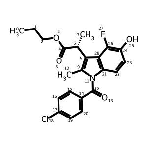 CCCOC(=O)[C@H](C)c1c(C)n(C(=O)c2ccc(Cl)cc2)c2ccc(O)c(F)c12